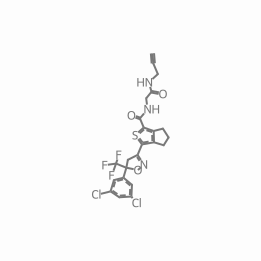 C#CCNC(=O)CNC(=O)c1sc(C2=NOC(c3cc(Cl)cc(Cl)c3)(C(F)(F)F)C2)c2c1CCC2